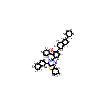 c1ccc(-c2ccc3cc(-c4ccc(-c5nc(-c6ccc7ccccc7c6)c6sc7ccccc7c6n5)c5c4oc4ccccc45)ccc3c2)cc1